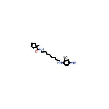 CC1(C(=O)NCCCCCCCCNc2ccc(N)cc2N=O)CC=CC1